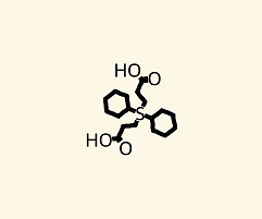 O=C(O)CCS(CCC(=O)O)(C1CCCCC1)C1CCCCC1